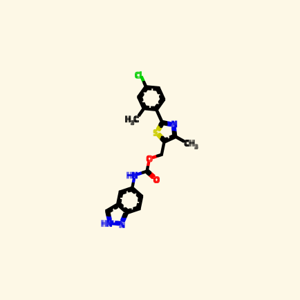 Cc1cc(Cl)ccc1-c1nc(C)c(COC(=O)Nc2ccc3n[nH]cc3c2)s1